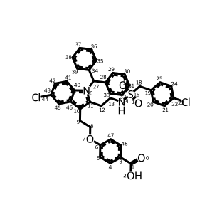 O=C(O)c1ccc(OCCc2c(CCNS(=O)(=O)Cc3ccc(Cl)cc3)n(C(c3ccccc3)c3ccccc3)c3ccc(Cl)cc23)cc1